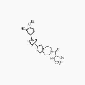 CCOc1ccc(-c2nc(-c3ccc4c(c3)CCN(C(=O)C(NC(=O)O)C(C)(C)C)CC4)no2)cc1C#N